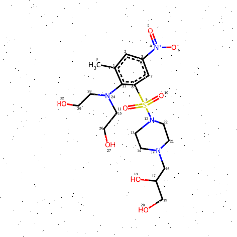 Cc1cc([N+](=O)[O-])cc(S(=O)(=O)N2CCN(CC(O)CO)CC2)c1N(CCO)CCO